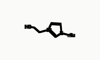 CCCCn1cc[n+](CCO)c1